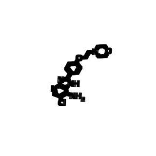 Nc1c(Cl)cnc2nc(-c3ccc(OCCN4CCOCC4)cc3)[nH]c12